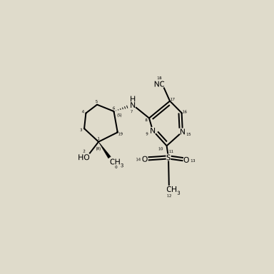 C[C@@]1(O)CCC[C@H](Nc2nc(S(C)(=O)=O)ncc2C#N)C1